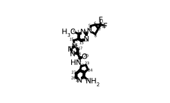 Cc1nc(N2CC3C(C2)C3(F)F)ncc1Cn1cc(C(=O)N[C@@H]2CCc3c2ccnc3N)nn1